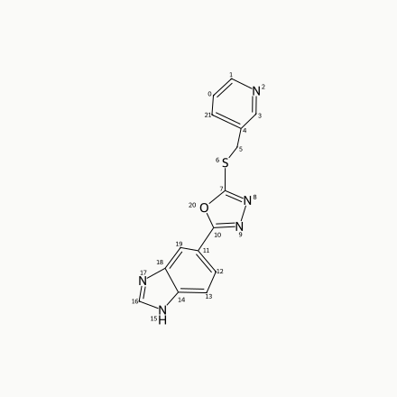 c1cncc(CSc2nnc(-c3ccc4[nH]cnc4c3)o2)c1